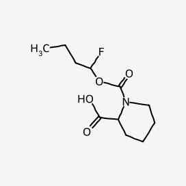 CCCC(F)OC(=O)N1CCCCC1C(=O)O